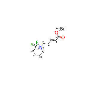 CC(C)(C)OC(=O)C=CCCN1CCCCC1(F)F